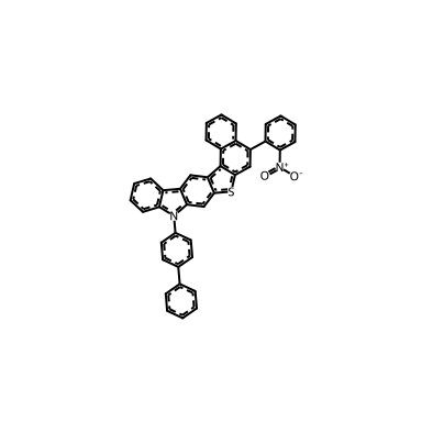 O=[N+]([O-])c1ccccc1-c1cc2sc3cc4c(cc3c2c2ccccc12)c1ccccc1n4-c1ccc(-c2ccccc2)cc1